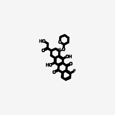 O=C1c2cccc(F)c2C(=O)c2c(O)c3c(c(O)c21)CC(C(=O)CO)C[C@@H]3OC1CCCCO1